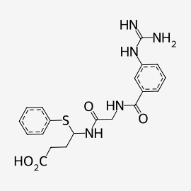 N=C(N)Nc1cccc(C(=O)NCC(=O)NC(CCC(=O)O)Sc2ccccc2)c1